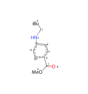 CCC(C)CNc1ccc(C(=O)OC)cc1